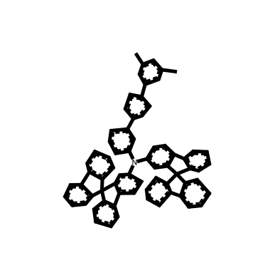 Cc1cc(C)cc(-c2ccc(-c3cccc(N(c4ccc5c(c4)C4(c6ccccc6-c6ccccc64)c4ccccc4-5)c4ccc5c(c4)C4(c6ccccc6-c6ccccc64)c4ccccc4-5)c3)cc2)c1